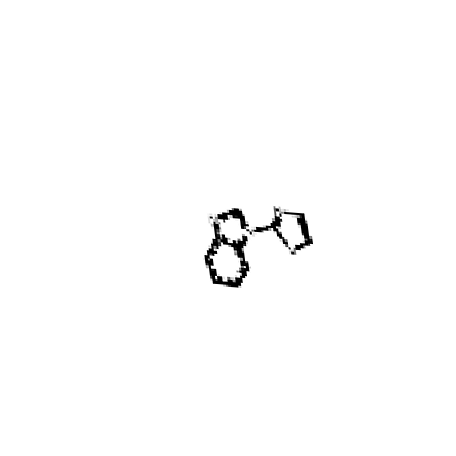 C1=CN=C(n2cnc3ccccc32)[N]1